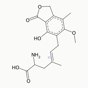 COc1c(C)c2c(c(O)c1C/C=C(\C)CC(N)C(=O)O)C(=O)OC2